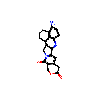 Nc1ccc2nc3c(c4c2c1CCC4)Cn1c-3cc2c(c1=O)COC(=O)C2